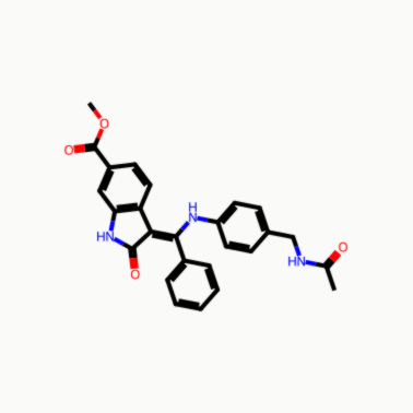 COC(=O)c1ccc2c(c1)NC(=O)C2=C(Nc1ccc(CNC(C)=O)cc1)c1ccccc1